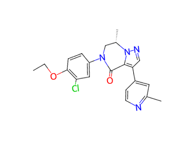 CCOc1ccc(N2C[C@H](C)n3ncc(-c4ccnc(C)c4)c3C2=O)cc1Cl